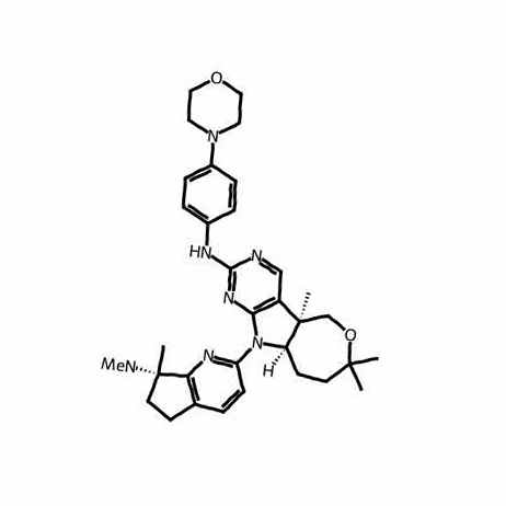 CN[C@@]1(C)CCc2ccc(N3c4nc(Nc5ccc(N6CCOCC6)cc5)ncc4[C@@]4(C)COC(C)(C)CC[C@@H]34)nc21